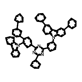 c1ccc(-c2cccc(-c3ccc(-c4nc(-c5ccccc5)nc(-c5cccc(-n6c7ccc(-c8ccccc8)cc7c7cc(-c8ccccc8)ccc76)c5)n4)cc3-n3c4ccccc4c4ccccc43)c2)cc1